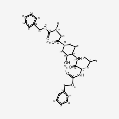 CC(C)C[C@H](NC(=O)OCc1ccccc1)C(=O)NC1CCN(C(=O)CN(C)C(=O)OCc2ccccc2)CC1O